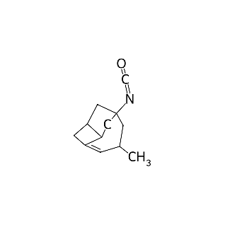 CC1C=C2CC3CC(N=C=O)(C1)CC23